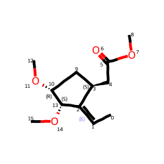 C/C=C1\[C@H](CC(=O)OC)C[C@@H](OC)[C@H]1OC